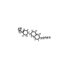 CCCCCCc1ccc2cc(-c3ccc(OC(F)(F)F)cc3)ccc2c1